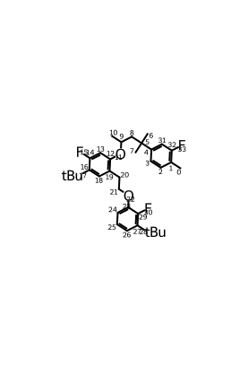 Cc1ccc(C(C)(C)CC(C)Oc2cc(F)c(C(C)(C)C)cc2CCOc2cccc(C(C)(C)C)c2F)cc1F